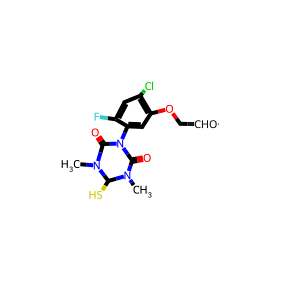 CN1C(=O)N(c2cc(OC[C]=O)c(Cl)cc2F)C(=O)N(C)C1S